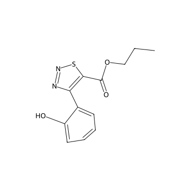 CCCOC(=O)c1snnc1-c1ccccc1O